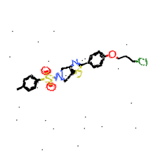 Cc1ccc(S(=O)(=O)N2Cc3nc(-c4ccc(OCCCCl)cc4)sc3C2)cc1